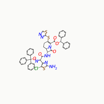 Nc1nc(/C(=N/OC(c2ccccc2)(c2ccccc2)c2ccccc2)C(=O)NC2C(=O)N3C(C(=O)OC(c4ccccc4)c4ccccc4)=C(Sc4nncs4)CCC23)c(Cl)s1